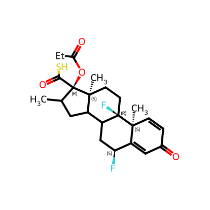 CCC(=O)O[C@]1(C(=O)S)C(C)CC2C3C[C@H](F)C4=CC(=O)C=C[C@]4(C)[C@@]3(F)CC[C@@]21C